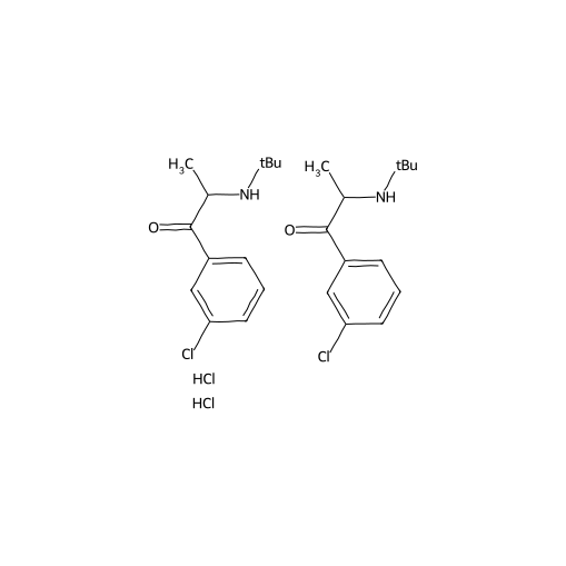 CC(NC(C)(C)C)C(=O)c1cccc(Cl)c1.CC(NC(C)(C)C)C(=O)c1cccc(Cl)c1.Cl.Cl